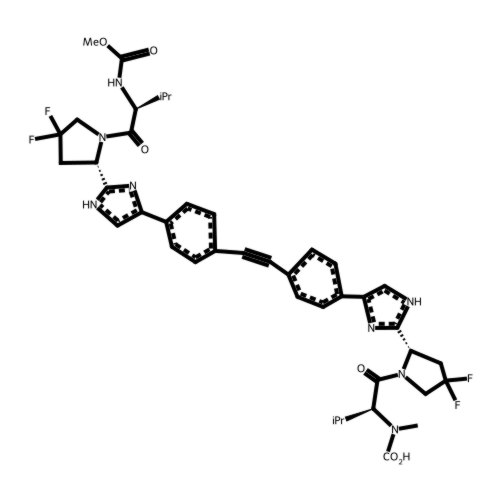 COC(=O)N[C@H](C(=O)N1CC(F)(F)C[C@H]1c1nc(-c2ccc(C#Cc3ccc(-c4c[nH]c([C@@H]5CC(F)(F)CN5C(=O)[C@H](C(C)C)N(C)C(=O)O)n4)cc3)cc2)c[nH]1)C(C)C